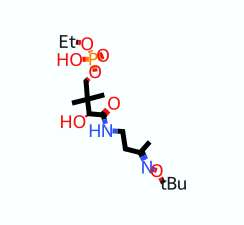 CCOP(=O)(O)OCC(C)(C)[C@@H](O)C(=O)NCC/C(C)=N/OC(C)(C)C